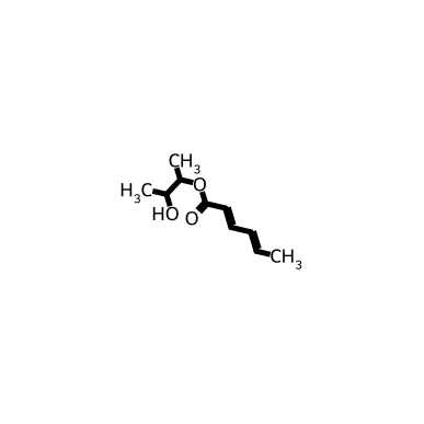 CC=CC=CC(=O)OC(C)C(C)O